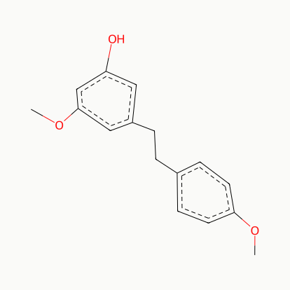 COc1ccc(CCc2cc(O)cc(OC)c2)cc1